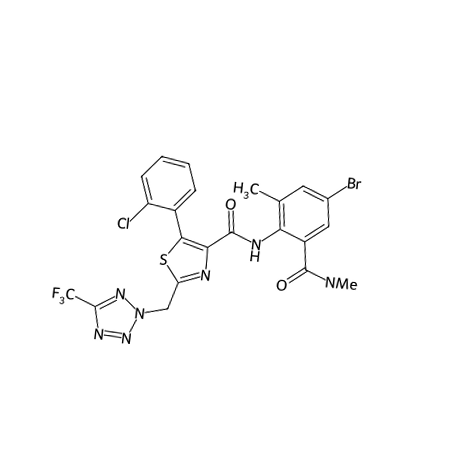 CNC(=O)c1cc(Br)cc(C)c1NC(=O)c1nc(Cn2nnc(C(F)(F)F)n2)sc1-c1ccccc1Cl